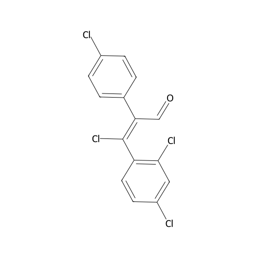 O=CC(=C(Cl)c1ccc(Cl)cc1Cl)c1ccc(Cl)cc1